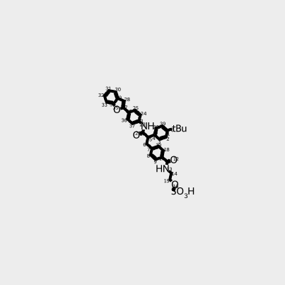 CC(C)(C)c1ccc(C(Cc2ccc(C(=O)NCCOS(=O)(=O)O)cc2)C(=O)Nc2ccc(-c3cc4ccccc4o3)cc2)cc1